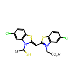 CCC(S)N1C(=Cc2sc3ccc(Cl)cc3[n+]2CC(=O)O)Sc2ccc(Cl)cc21